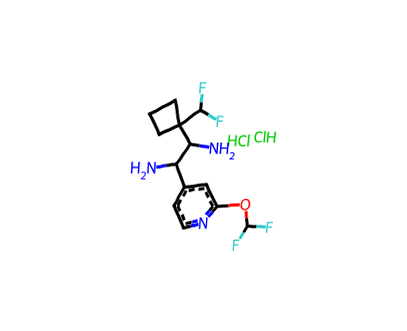 Cl.Cl.NC(c1ccnc(OC(F)F)c1)C(N)C1(C(F)F)CCC1